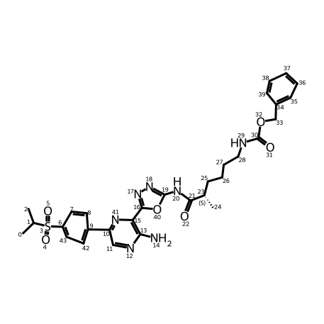 CC(C)S(=O)(=O)c1ccc(-c2cnc(N)c(-c3nnc(NC(=O)[C@@H](C)CCCCNC(=O)OCc4ccccc4)o3)n2)cc1